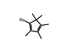 CC1=C(C)C(C)(C)[C]([Re])=C1C